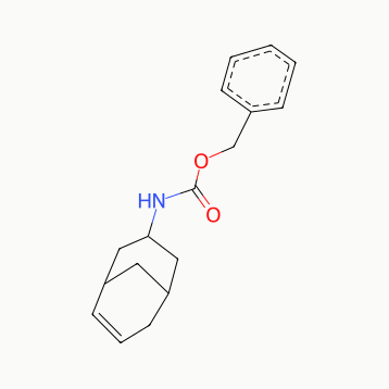 O=C(NC1CC2C=CCC(C2)C1)OCc1ccccc1